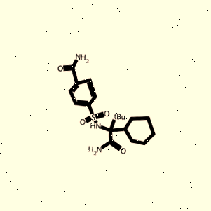 CC(C)(C)C(NS(=O)(=O)c1ccc(C(N)=O)cc1)(C(N)=O)C1CCCCC1